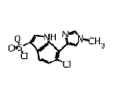 Cn1cnc(-c2c(Cl)ccc3c(S(=O)(=O)Cl)c[nH]c23)c1